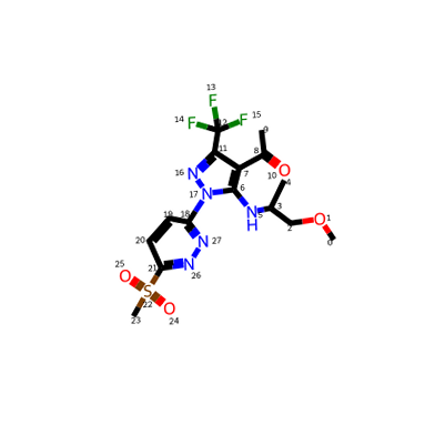 COCC(C)Nc1c(C(C)=O)c(C(F)(F)F)nn1-c1ccc(S(C)(=O)=O)nn1